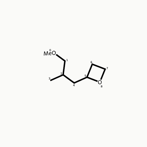 COCC(C)CC1CCO1